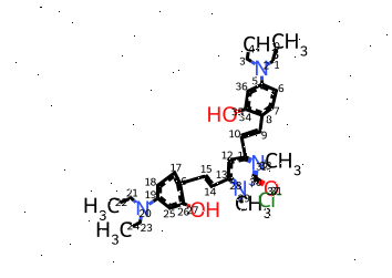 CCN(CC)c1ccc(C=Cc2cc(C=Cc3ccc(N(CC)CC)cc3O)[n+](C)c(=O)n2C)c(O)c1.[Cl-]